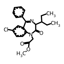 CCC(CC)C1N=C(c2ccccc2)c2cc(Cl)ccc2N(CC(=O)OC)C1=O